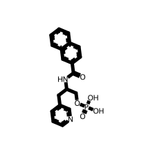 O=C(NC(COP(=O)(O)O)Cc1cccnc1)c1ccc2ccccc2c1